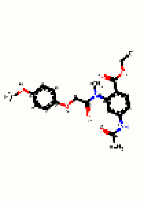 CCOC(=O)c1ccc(NC(C)=O)cc1N(C)C(=O)COc1ccc(OC)cc1